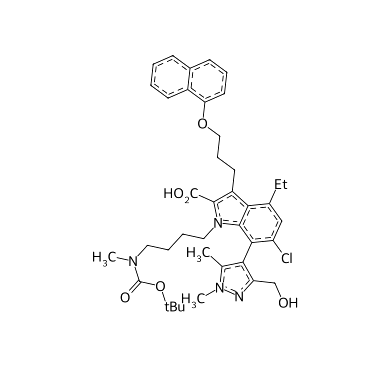 CCc1cc(Cl)c(-c2c(CO)nn(C)c2C)c2c1c(CCCOc1cccc3ccccc13)c(C(=O)O)n2CCCCN(C)C(=O)OC(C)(C)C